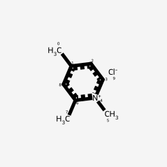 Cc1cc[n+](C)c(C)c1.[Cl-]